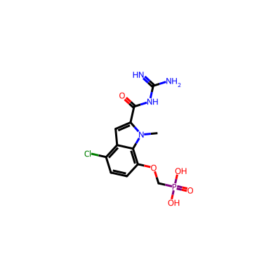 Cn1c(C(=O)NC(=N)N)cc2c(Cl)ccc(OCP(=O)(O)O)c21